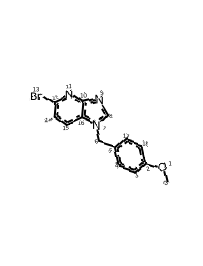 COc1ccc(Cn2cnc3nc(Br)ccc32)cc1